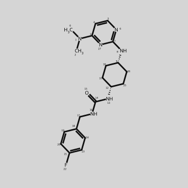 CN(C)c1ccnc(N[C@H]2CC[C@@H](NC(=O)NCc3ccc(F)cc3)CC2)n1